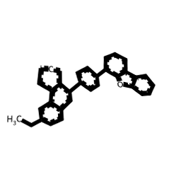 CCc1ccc2cc(-c3ccc(-c4cccc5c4oc4ccccc45)cc3)c3ccccc3c2c1